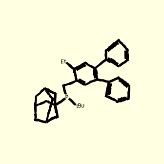 CCc1cc(-c2ccccc2)c(-c2ccccc2)cc1CP(C(C)(C)C)C12CC3CC(CC(C3)C1)C2